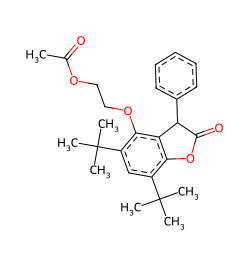 CC(=O)OCCOc1c(C(C)(C)C)cc(C(C)(C)C)c2c1C(c1ccccc1)C(=O)O2